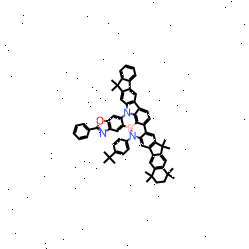 CC(C)(C)c1ccc(N2B3c4cc5nc(-c6ccccc6)oc5cc4-n4c5cc6c(cc5c5ccc(c3c54)-c3cc4c(cc32)-c2cc3c(cc2C4(C)C)C(C)(C)CCC3(C)C)-c2ccccc2C6(C)C)cc1